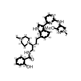 COc1nn(C)cc1Nc1nccc(-c2c[nH]c3c(CC[C@@H](CNC(=O)c4ccccc4O)N4CCN(C)CC4)cccc23)n1